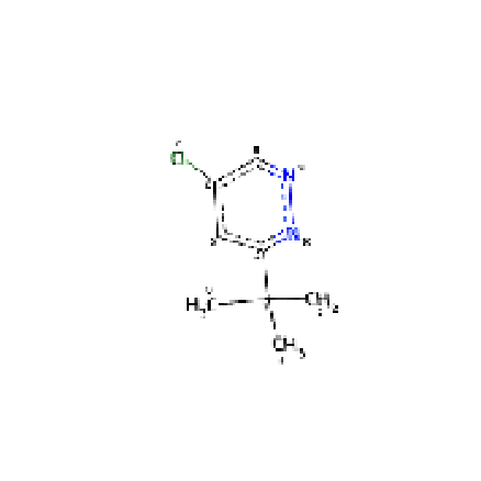 CC(C)(C)c1cc(Cl)cnn1